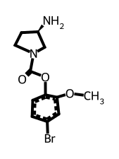 COc1cc(Br)ccc1OC(=O)N1CC[C@@H](N)C1